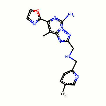 Cc1c(-c2ncco2)nc(N)n2nc(CNCc3ccc(C(F)(F)F)cn3)nc12